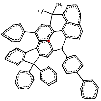 CC1(C)c2cc(-c3ccccc3)ccc2-c2c(N(c3ccc(-c4ccccc4)cc3)c3ccc4c(c3)C(c3ccccc3)(c3ccccc3)c3ccccc3-4)ccc3cccc1c23